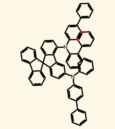 c1ccc(-c2ccc(N(c3ccccc3)c3ccc4c(c3)-c3c(N(c5ccc(-c6ccccc6)cc5)c5ccccc5-c5ccccc5)cccc3C43c4ccccc4-c4ccccc43)cc2)cc1